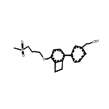 CS(=O)(=O)CCCOc1ccc(-c2cccc(CO)c2)c2c1CC2